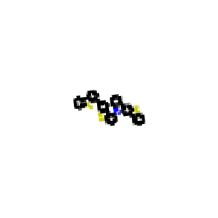 c1ccc2c(c1)sc1cc3c4ccccc4n(-c4cccc5sc6cc(-c7cccc8c7sc7ccccc78)ccc6c45)c3cc12